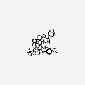 COc1ccc(C[C@H](NC(=O)C(NC(=O)CN2CCOCC2)C(F)(F)F)C(=O)N[C@@H](CC2=CCCC2)C(=O)[C@@]2(C)CO2)cc1